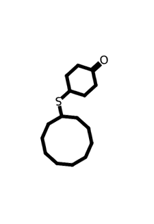 O=C1CCC(SC2CCCCCCCCC2)CC1